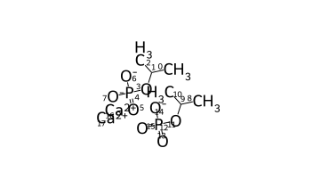 CC(C)OP(=O)([O-])[O-].CC(C)OP(=O)([O-])[O-].[Ca+2].[Ca+2]